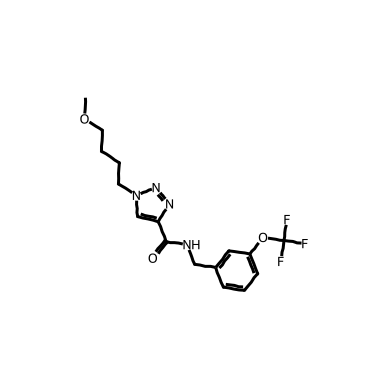 COCCCCn1cc(C(=O)NCc2cccc(OC(F)(F)F)c2)nn1